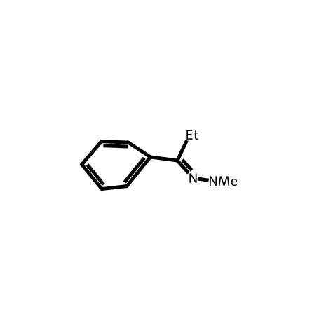 CC/C(=N\NC)c1ccccc1